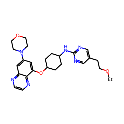 CCOCCc1cnc(NC2CCC(Oc3cc(N4CCOCC4)cc4nccnc34)CC2)nc1